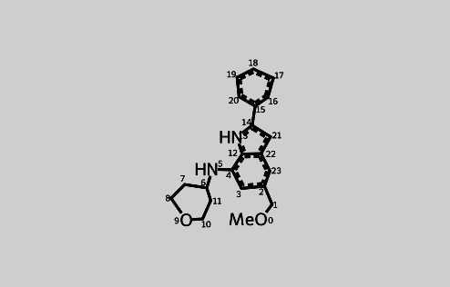 COCc1cc(NC2CCOCC2)c2[nH]c(-c3ccccc3)cc2c1